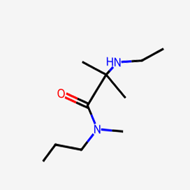 CCCN(C)C(=O)C(C)(C)NCC